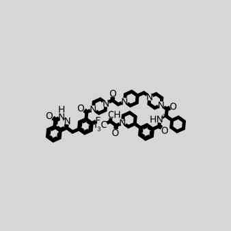 CC(C)C(=O)N1CCCC(c2cccc(C(=O)N[C@@H](C(=O)N3CCN(CC4CCN(CC(=O)N5CCN(C(=O)c6cc(Cc7n[nH]c(=O)c8ccccc78)ccc6F)CC5)CC4)CC3)C3CCCCC3)c2)C1